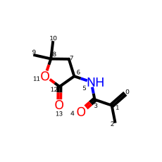 C=C(C)C(=O)NC1CC(C)(C)OC1=O